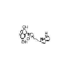 O=C(O)CC(c1cncc(O)c1)N1CCN(CCCC2C=CC3=CCCNC3=N2)C1=O